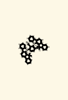 CC1(C)c2ccccc2-c2ccc3c4ccccc4n(-c4ccc(C#N)c(-n5c6ccccc6c6ccc7c(c65)C(C)(C)c5ccccc5-7)c4C#N)c3c21